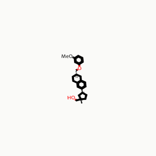 COc1cccc(OC[C@H]2CCc3cc([C@H]4CC[C@](C)(CO)C4)ccc3C2)c1